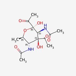 CC(=O)N[C@@H]1[C@@H](C)O[C@@](O)(C(C)=O)[C@@H](NC(C)=O)[C@]1(O)C(C)=O